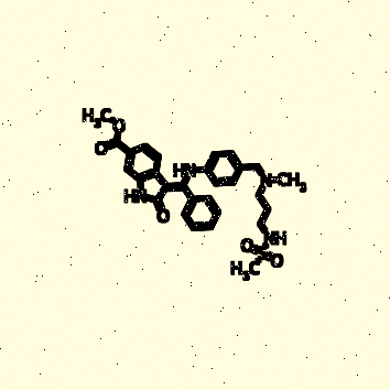 COC(=O)c1ccc2c(c1)NC(=O)C2=C(Nc1ccc(CN(C)CCCNS(C)(=O)=O)cc1)c1ccccc1